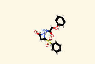 O=C(COc1ccccc1)NN1C(=O)CC1S(=O)(=O)c1ccccc1